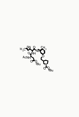 CC(=O)N[C@@H](CC(=O)OC(C)(C)C)C(=O)NC(C(=O)NCc1cc(OCCC2CCCN(C(=O)OC(C)(C)C)C2)ccc1C)c1cc(C)sn1